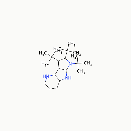 CC(C)(C)C1C2C3NCCCC3NC2N(C(C)(C)C)C1C(C)(C)C